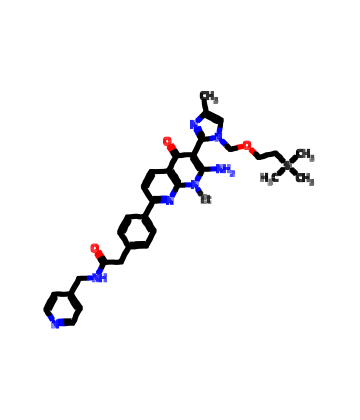 CCn1c(N)c(-c2nc(C)cn2COCC[Si](C)(C)C)c(=O)c2ccc(-c3ccc(CC(=O)NCc4ccncc4)cc3)nc21